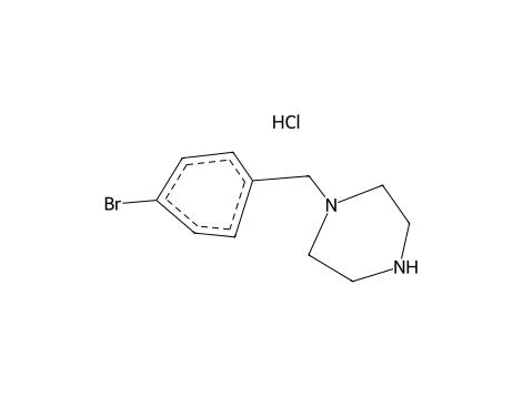 Brc1ccc(CN2CCNCC2)cc1.Cl